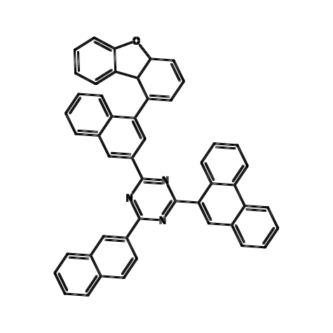 C1=CC2Oc3ccccc3C2C(c2cc(-c3nc(-c4ccc5ccccc5c4)nc(-c4cc5ccccc5c5ccccc45)n3)cc3ccccc23)=C1